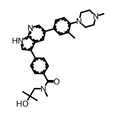 Cc1cc(-c2cnc3[nH]cc(-c4ccc(C(=O)N(C)CC(C)(C)O)cc4)c3c2)ccc1N1CCN(C)CC1